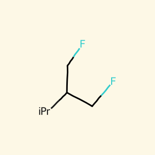 CC(C)C(CF)CF